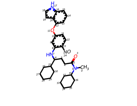 CN(C(=O)CCC(Nc1cc(Oc2cccc3[nH]ccc23)ccc1N=O)C1CCCCC1)C1CCCCC1